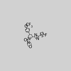 O=C(N1CCOCC1)N1CC(C2=NC(c3ccc(F)s3)=NC2)CC(c2ccc(OC(F)(F)F)cc2)C1